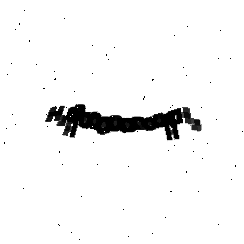 CNCCOCCOCCOCCOCCOCCOCCOCCOCCC(=O)NC